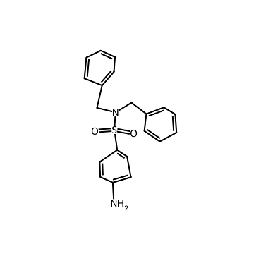 Nc1ccc(S(=O)(=O)N(Cc2ccccc2)Cc2ccccc2)cc1